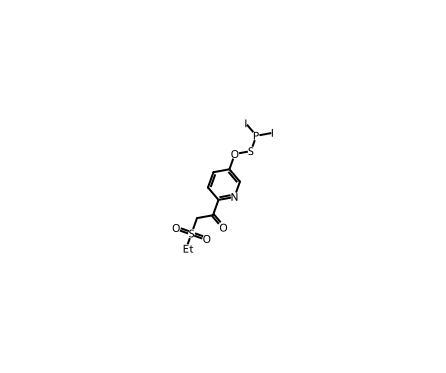 CCS(=O)(=O)CC(=O)c1ccc(OSP(I)I)cn1